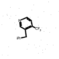 CC(C)Cc1cnccc1C(F)(F)F